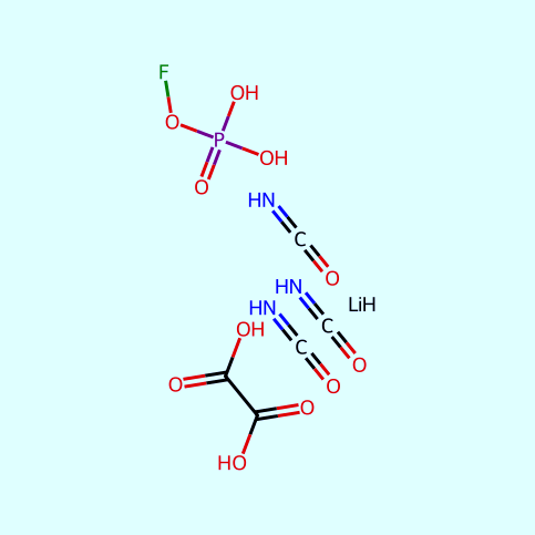 N=C=O.N=C=O.N=C=O.O=C(O)C(=O)O.O=P(O)(O)OF.[LiH]